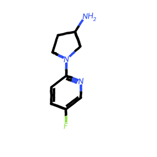 NC1CCN(c2ccc(F)cn2)C1